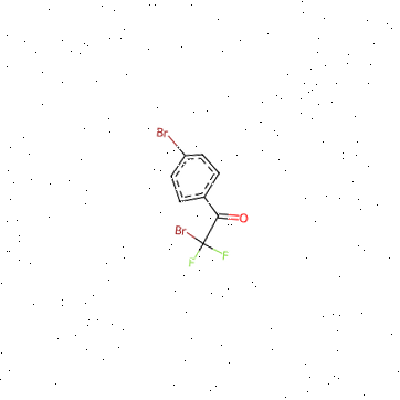 O=C(c1ccc(Br)cc1)C(F)(F)Br